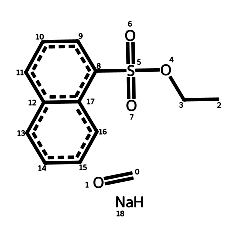 C=O.CCOS(=O)(=O)c1cccc2ccccc12.[NaH]